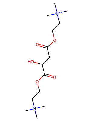 C[N+](C)(C)CCOC(=O)CC(O)C(=O)OCC[N+](C)(C)C